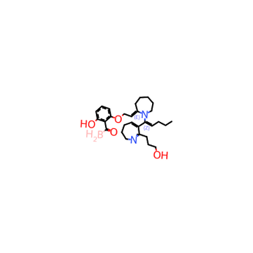 BC(=O)c1c(O)cccc1OC/C=C1\CCCCCN1/C(=C\CCC)C1=CCCCN=C1CCCO